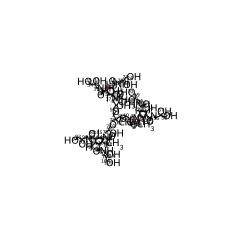 CCC(COCC(O)CN(C(C)=O)c1c(I)c(C(=O)NCC(O)CO)c(I)c(C(=O)NCC(O)CO)c1I)(COCC(O)CN(C(C)=O)c1c(I)c(C(=O)NCC(O)CO)c(I)c(C(=O)NCC(O)CO)c1I)COCC(O)CN(C(C)=O)c1c(I)c(C(=O)NCC(O)CO)c(I)c(C(=O)NCC(O)CO)c1I